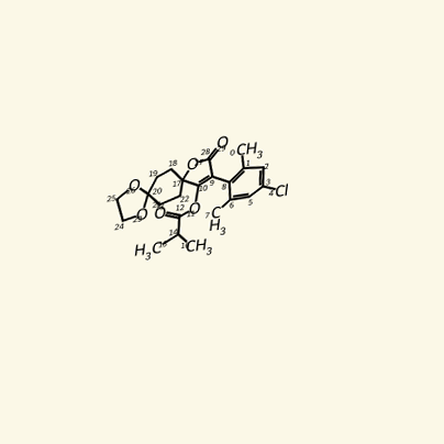 Cc1cc(Cl)cc(C)c1C1=C(OC(=O)C(C)C)C2(CCC3(CC2)OCCO3)OC1=O